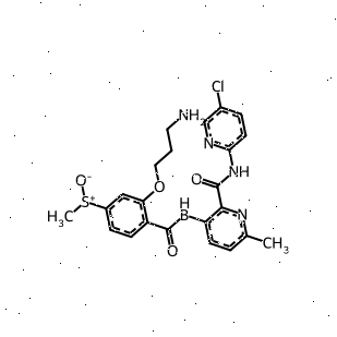 Cc1ccc(BC(=O)c2ccc([S+](C)[O-])cc2OCCCN)c(C(=O)Nc2ccc(Cl)cn2)n1